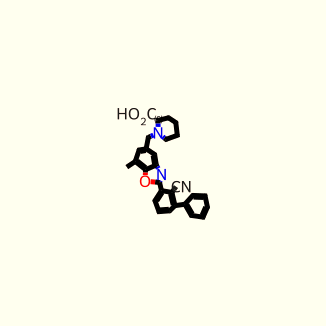 Cc1cc(CN2CCCC[C@H]2C(=O)O)cc2nc(-c3cccc(-c4ccccc4)c3C#N)oc12